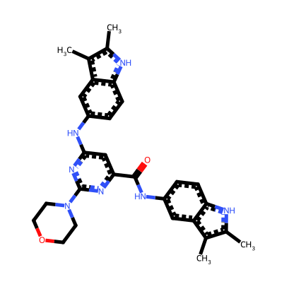 Cc1[nH]c2ccc(NC(=O)c3cc(Nc4ccc5[nH]c(C)c(C)c5c4)nc(N4CCOCC4)n3)cc2c1C